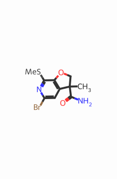 CSc1nc(Br)cc2c1OCC2(C)C(N)=O